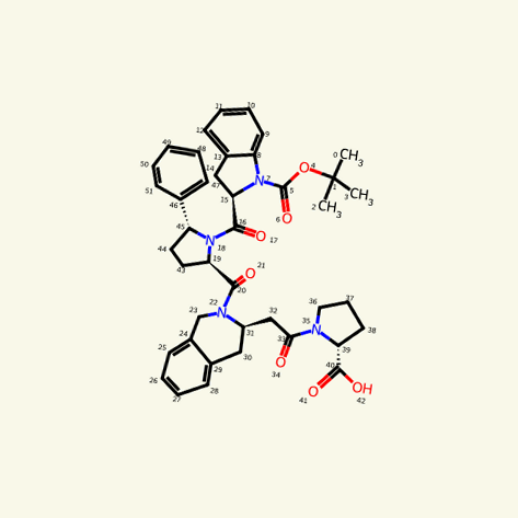 CC(C)(C)OC(=O)N1c2ccccc2C[C@@H]1C(=O)N1[C@@H](C(=O)N2Cc3ccccc3C[C@@H]2CC(=O)N2CCC[C@@H]2C(=O)O)CC[C@@H]1c1ccccc1